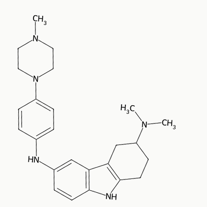 CN1CCN(c2ccc(Nc3ccc4[nH]c5c(c4c3)CC(N(C)C)CC5)cc2)CC1